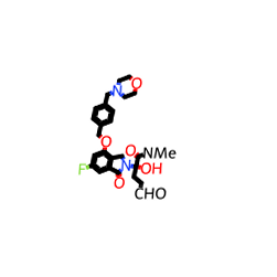 CNC(=O)C(O)(CCC=O)N1Cc2c(OCc3ccc(CN4CCOCC4)cc3)cc(F)cc2C1=O